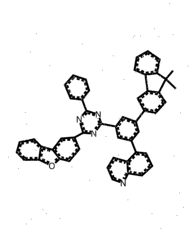 CC1(C)c2ccccc2-c2cc(-c3cc(-c4nc(-c5ccccc5)nc(-c5ccc6oc7ccccc7c6c5)n4)cc(-c4cccc5ncccc45)c3)ccc21